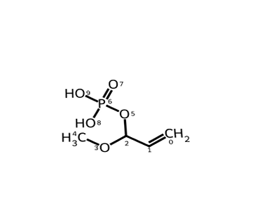 C=CC(OC)OP(=O)(O)O